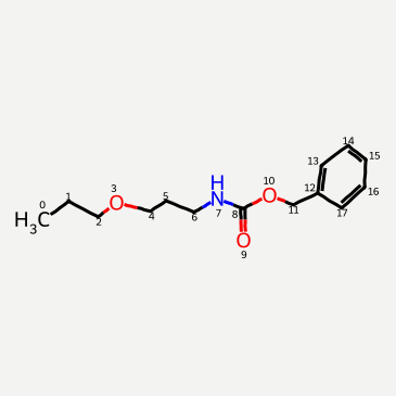 CCCOCCCNC(=O)OCc1ccccc1